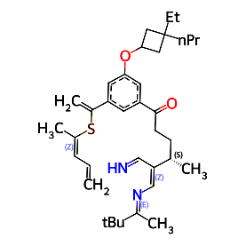 C=C/C=C(/C)SC(=C)c1cc(OC2CC(CC)(CCC)C2)cc(C(=O)CC[C@H](C)/C(C=N)=C/N=C(\C)C(C)(C)C)c1